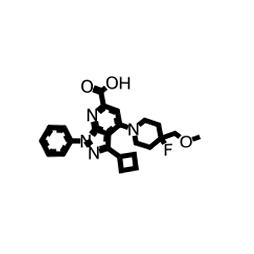 COCC1(F)CCN(c2cc(C(=O)O)nc3c2c(C2CCC2)nn3-c2ccccc2)CC1